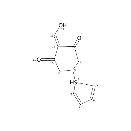 O=C1CC([SH]2C=CC=C2)CC(=O)C1=CO